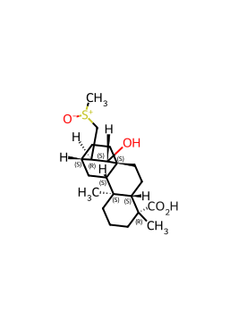 C[S+]([O-])C[C@@H]1[C@H]2CC[C@@]3(CC[C@H]4[C@@](C)(CCC[C@@]4(C)C(=O)O)[C@@H]3C2)[C@H]1O